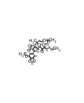 CC=CC(C)(C)C[C@@H]1[C@@H](C(=O)O)[C@@H](c2cc(OC)c3c(c2)OCO3)CN1CC(=O)N(CCCC)CCCC